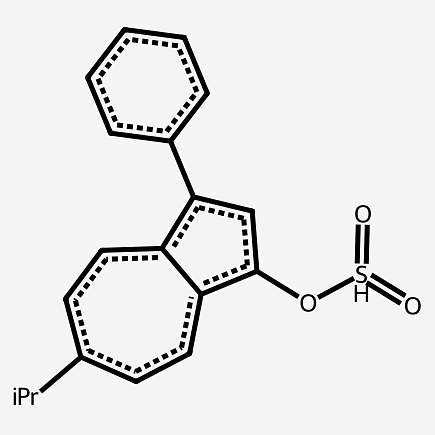 CC(C)c1ccc2c(O[SH](=O)=O)cc(-c3ccccc3)c-2cc1